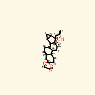 C=CC[C@]1(O)C2CC2C2C3CC=C4CC5(CCC4C3CC[C@@]21C)OCCO5